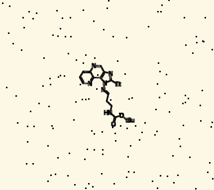 CCc1nc2cnc3cccnc3c2n1N=CCCNC(=O)OC(C)(C)C